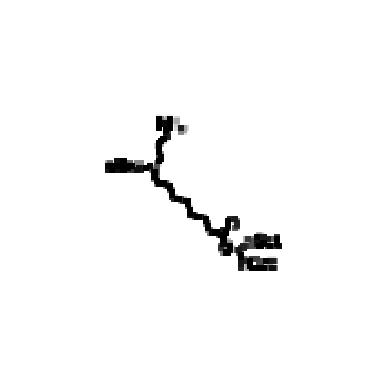 CCCCCCCCC(CCCCCCCC)OC(=O)CCCCCCCN(CCCN)CCCCCC